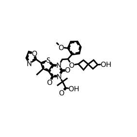 COc1ccccc1C(Cn1c(=O)n(C(C)(C)C(=O)O)c(=O)c2c(C)c(-c3ncco3)sc21)OC1CC2(CC(O)C2)C1